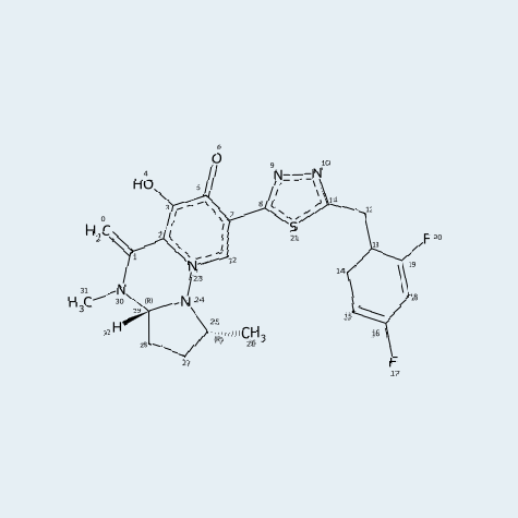 C=C1c2c(O)c(=O)c(-c3nnc(CC4CC=C(F)C=C4F)s3)cn2N2[C@H](C)CC[C@@H]2N1C